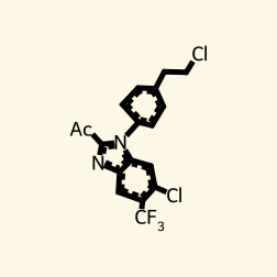 CC(=O)c1nc2cc(C(F)(F)F)c(Cl)cc2n1-c1ccc(CCCl)cc1